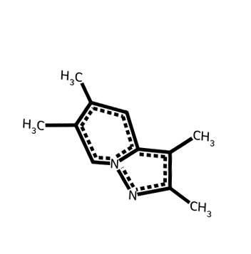 Cc1cc2c(C)c(C)nn2cc1C